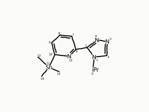 CC(C)n1cnnc1-c1ccc[c]([Sn]([CH3])([CH3])[CH3])n1